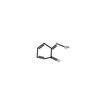 O=C1C=CC=CC1=NO